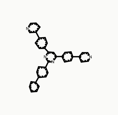 c1ccc(-c2ccc(-c3nc(-c4ccc(-c5ccncc5)cc4)cc(-c4ccc(-c5cccnc5)cc4)n3)cc2)cc1